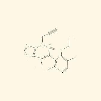 BCOc1c(Cl)ccc(Cl)c1C1=C(O)c2scnc2N(CC#C)S1(=O)=O